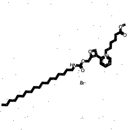 CCCCCCCCCCCCCCCCCCNC(=O)OCC1OCC1c1cccc[n+]1CCCCCC(=O)OC.[Br-]